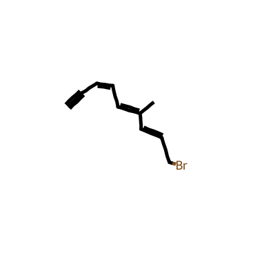 C#C\C=C/C=C(C)/C=C/CBr